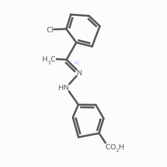 C/C(=N\Nc1ccc(C(=O)O)cc1)c1ccccc1Cl